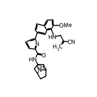 C=C(C#N)CNc1c(OC)ccc2ccc(-c3cccc(C(=O)NC4CC5CCC(C4)N5C)n3)cc12